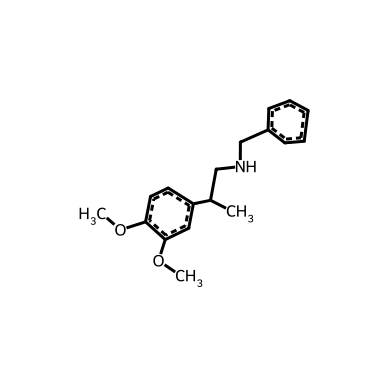 COc1ccc(C(C)CNCc2ccccc2)cc1OC